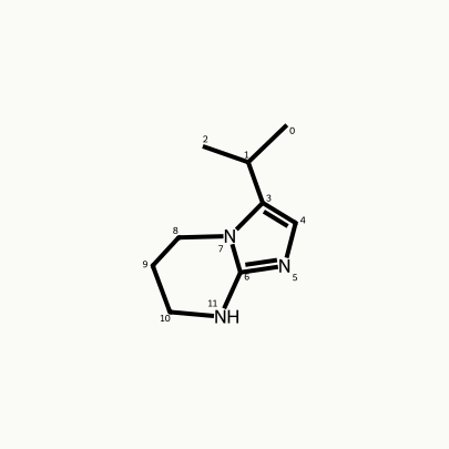 CC(C)c1cnc2n1CCCN2